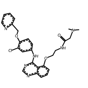 CN(C)CC(=O)NCCOc1cccc2ncnc(Nc3ccc(OCc4ccccn4)c(Cl)c3)c12